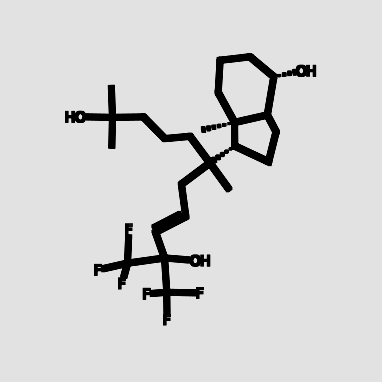 CC(C)(O)CCCC(C)(C/C=C/C(O)(C(F)(F)F)C(F)(F)F)[C@H]1CCC2[C@@H](O)CCC[C@@]21C